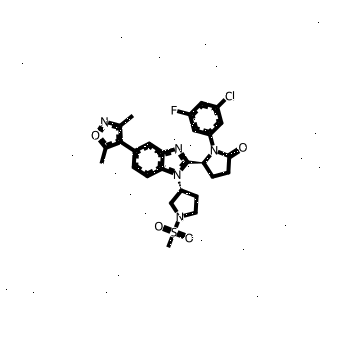 Cc1noc(C)c1-c1ccc2c(c1)nc([C@@H]1CCC(=O)N1c1cc(F)cc(Cl)c1)n2[C@@H]1CCN(S(C)(=O)=O)C1